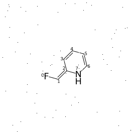 FC=C1C=CC=CN1